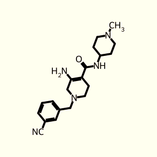 CN1CCC(NC(=O)C2=C(N)CN(Cc3cccc(C#N)c3)CC2)CC1